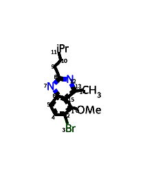 COc1c(Br)ccc2nc(CCC(C)C)nc(C)c12